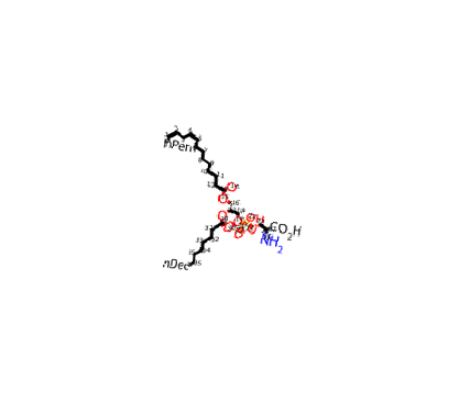 CCCCC/C=C\C/C=C\CCCCCCCC(=O)OC[C@H](COP(=O)(O)OC[C@H](N)C(=O)O)OC(=O)CCCCCCCCCCCCCCCC